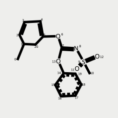 CC1C=CC=C(O/C(=N/S(C)(=O)=O)Oc2ccccc2)C1